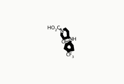 O=C(O)N1CCC(Nc2ccc(C(F)(F)F)cc2)C(O)C1